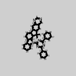 CC1(C)c2cc3cncnc3cc2-c2ccc3c4ccccc4n(-c4nc(-c5ccccc5)nc(-c5ccccc5)n4)c3c21